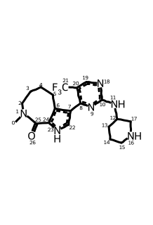 CN1CCCCc2c(-c3nc(NC4CCCNC4)ncc3C(F)(F)F)c[nH]c2C1=O